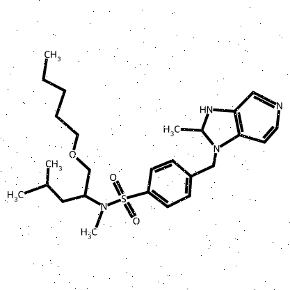 CCCCCOCC(CC(C)C)N(C)S(=O)(=O)c1ccc(CN2c3ccncc3NC2C)cc1